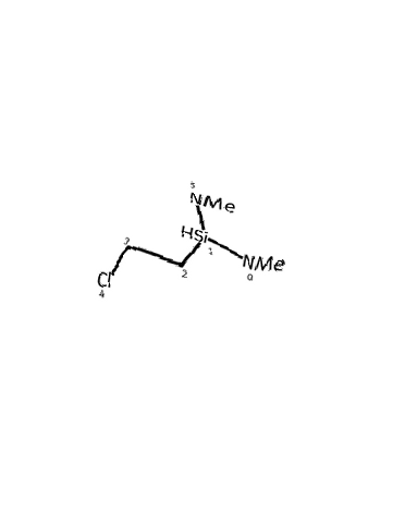 CN[SiH](CCCl)NC